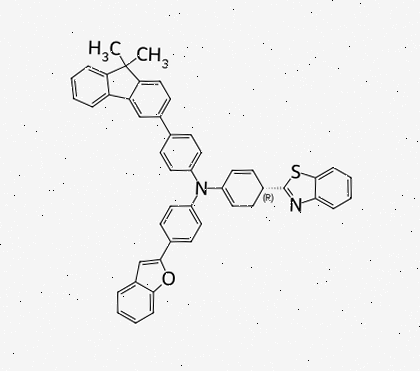 CC1(C)c2ccccc2-c2cc(-c3ccc(N(C4=CC[C@@H](c5nc6ccccc6s5)C=C4)c4ccc(-c5cc6ccccc6o5)cc4)cc3)ccc21